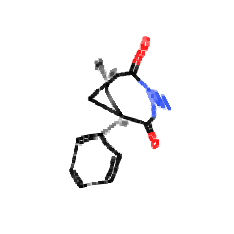 O=C1NC(=O)[C@@]2(c3ccccc3)C[C@@H]12